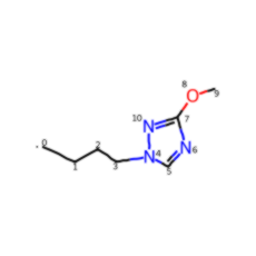 [CH2]CCCn1cnc(OC)n1